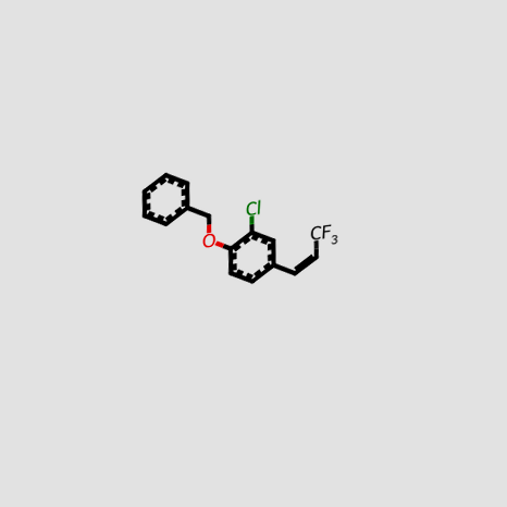 FC(F)(F)/C=C\c1ccc(OCc2ccccc2)c(Cl)c1